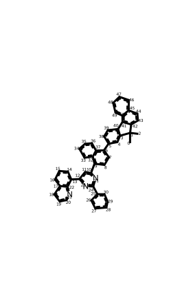 CC1(C)c2cc(-c3ccc(-c4cc(-c5cccc6cccnc56)nc(-c5ccccc5)n4)c4ccccc34)ccc2-c2c1ccc1ccccc21